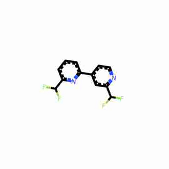 FC(F)c1cc(-c2cccc(C(F)F)n2)ccn1